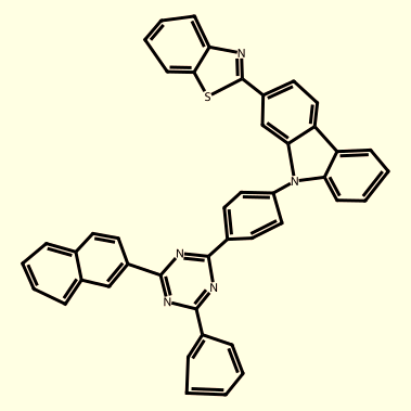 c1ccc(-c2nc(-c3ccc(-n4c5ccccc5c5ccc(-c6nc7ccccc7s6)cc54)cc3)nc(-c3ccc4ccccc4c3)n2)cc1